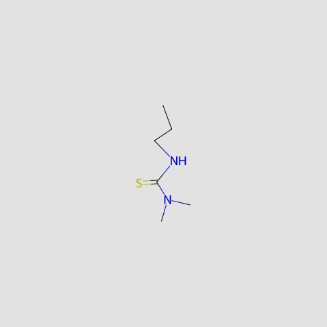 CCCNC(=S)N(C)C